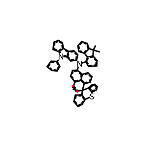 CC1(C)c2ccccc2-c2c(N(c3ccc4c5ccccc5n(-c5ccccc5)c4c3)c3ccc4c5c(cccc35)C3(c5ccccc5Sc5ccccc53)c3ccccc3-4)cccc21